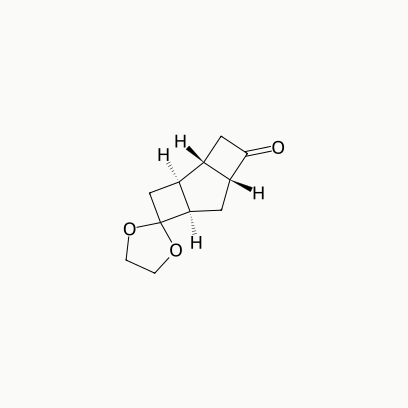 O=C1C[C@H]2[C@@H]3CC4(OCCO4)[C@@H]3C[C@@H]12